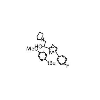 COc1ccc(C(C)(C)C)cc1C(O)(CN1CCCC1)c1nc(-c2ccc(F)cc2)cs1